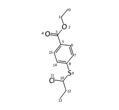 CCOC(=O)c1ccc(SC(Cl)CC)cc1